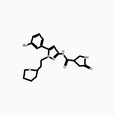 CC(C)(C)c1cccc(-c2cc(NC(=O)C3CNC(=O)C3)nn2CCC2CCCCC2)c1